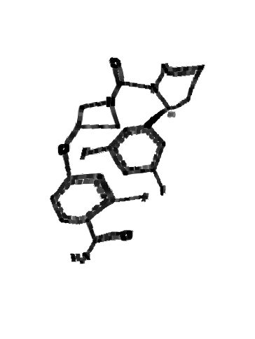 NC(=O)c1ccc(OC2CN(C(=O)N3N=CC[C@H]3c3cc(F)cc(F)c3)C2)cc1F